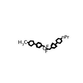 CCCC1CCC(c2ccc(CC(F)(F)OCc3ccc(C4CCC(C)CC4)cc3)cc2)CC1